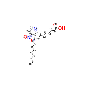 CCCCCCCC/C=C\CCCCCCCC(=O)O.O=[N+]([O-])c1ccncc1